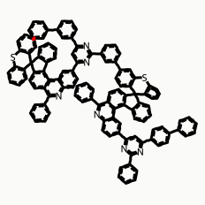 c1ccc(-c2ccc(-c3cc(-c4ccc5nc(-c6ccccc6)c6ccc7c(c6c5c4)-c4ccccc4C74c5ccccc5Sc5cc(-c6cccc(-c7nc(-c8cccc(-c9ccccc9)c8)cc(-c8ccc9nc(-c%10ccccc%10)c%10ccc%11c(c%10c9c8)-c8ccccc8C%118c9ccccc9Sc9ccccc98)n7)c6)ccc54)nc(-c4ccccc4)n3)cc2)cc1